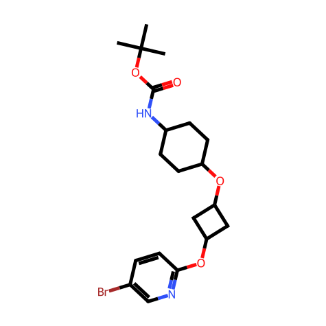 CC(C)(C)OC(=O)NC1CCC(OC2CC(Oc3ccc(Br)cn3)C2)CC1